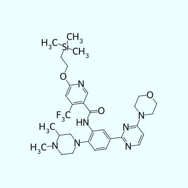 CC1CN(c2ccc(-c3nccc(N4CCOCC4)n3)cc2NC(=O)c2cnc(OCC[Si](C)(C)C)cc2C(F)(F)F)CCN1C